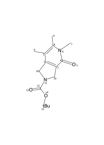 Cc1c2c(c(=O)n(C)c1C)CN(C(=O)OC(C)(C)C)C2